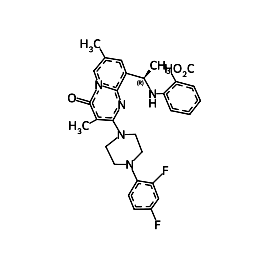 Cc1cc([C@@H](C)Nc2ccccc2C(=O)O)c2nc(N3CCN(c4ccc(F)cc4F)CC3)c(C)c(=O)n2c1